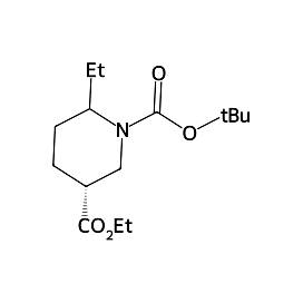 CCOC(=O)[C@@H]1CCC(CC)N(C(=O)OC(C)(C)C)C1